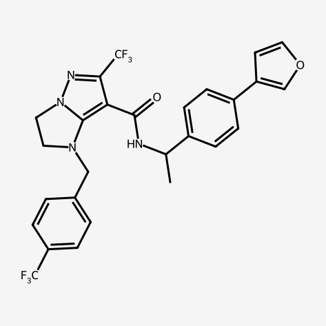 CC(NC(=O)c1c(C(F)(F)F)nn2c1N(Cc1ccc(C(F)(F)F)cc1)CC2)c1ccc(-c2ccoc2)cc1